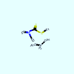 CC(=O)O[SiH2]OC(C)=O.CCSC(=S)N(CC)CC